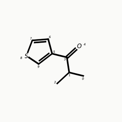 CC(C)C(=O)c1ccsc1